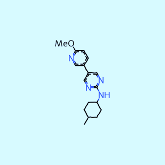 COc1ccc(-c2cnc(NC3CCC(C)CC3)nc2)cn1